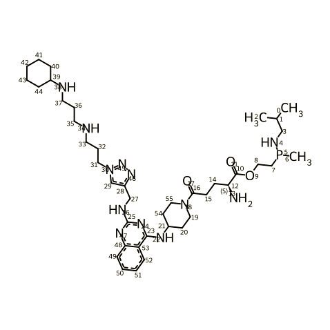 CC(C)CNP(C)CCOC(=O)[C@@H](N)CCC(=O)N1CCC(Nc2nc(NCc3cn(CCCNCCCNC4CCCCC4)nn3)nc3ccccc23)CC1